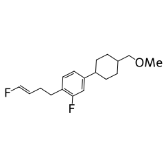 COCC1CCC(c2ccc(CCC=CF)c(F)c2)CC1